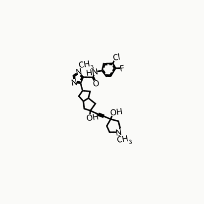 CN1CCC(O)(C#CC2(O)CC3CC(c4ncn(C)c4C(=O)Nc4ccc(F)c(Cl)c4)CC3C2)CC1